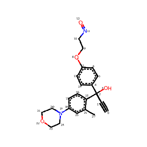 C#CC(O)(c1ccc(OCCN=O)cc1)c1ccc(N2CCOCC2)cc1C